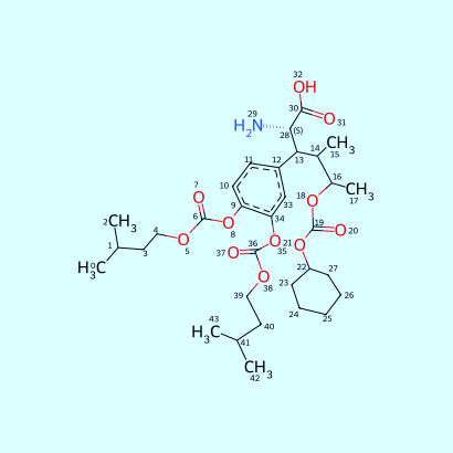 CC(C)CCOC(=O)Oc1ccc(C(C(C)C(C)OC(=O)OC2CCCCC2)[C@H](N)C(=O)O)cc1OC(=O)OCCC(C)C